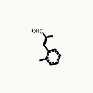 CC(C=O)=Cc1ccccc1C